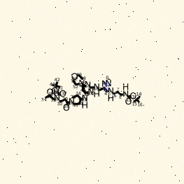 C/N=N/C(=C\NCCCNC(=O)OC(C)(C)C)CNc1nc(NC2CCN(C(=O)CCN(CC(C)O)C(=O)OC(C)(C)C)CC2)cc(N2CCOCC2)n1